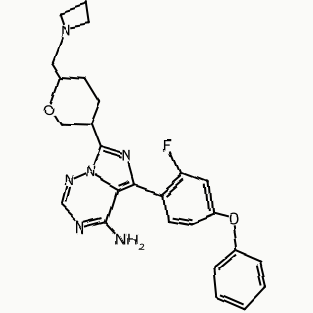 Nc1ncnn2c(C3CCC(CN4CCC4)OC3)nc(-c3ccc(Oc4ccccc4)cc3F)c12